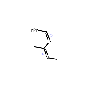 CCC/C=N\C(C)=N/C